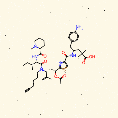 C#CCCCCN(C(=O)[C@@H](NC(=O)[C@H]1CCCCN1C)[C@@H](C)CC)[C@H](C[C@@H](OC(C)=O)c1nc(C(=O)N[C@@H](Cc2ccc(N)cc2)CC(C)(C)C(=O)O)cs1)C(=C)C